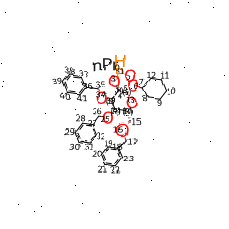 CCC[PH](=O)O[C@H]1[C@@H](OC2CCCCC2)O[C@H](COCc2ccccc2)[C@@H](OCc2ccccc2)[C@@H]1OCc1ccccc1